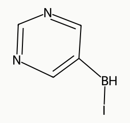 IBc1cncnc1